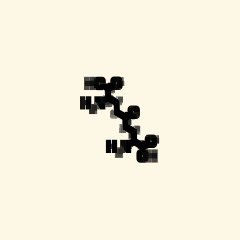 NC(CCC(=O)CC[C@@H](N)C(=O)O)C(=O)O